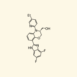 CCc1ccc(N2c3cccc(-c4nc5c(F)cc(F)cc5[nH]4)c3OC[C@@H]2CO)nc1